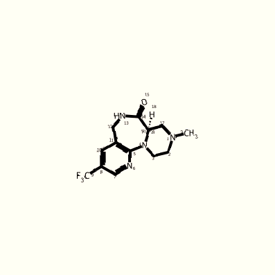 CN1CCN2c3ncc(C(F)(F)F)cc3CNC(=O)[C@H]2C1